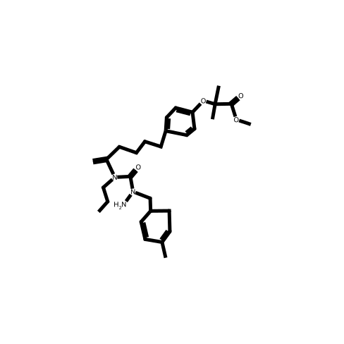 C=C(CCCCc1ccc(OC(C)(C)C(=O)OC)cc1)N(CCC)C(=O)N(N)CC1C=CC(C)=CC1